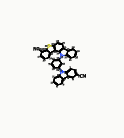 N#Cc1ccc2c(c1)c1ccccc1n2-c1cccc(-n2c3ccccc3c3ccc4sc5c(C#N)cccc5c4c32)c1